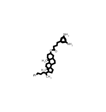 CC(C)CCCC(C)C1CCC2C3CCC4CC(OC(=O)CCCc5cc(N)cc(N)c5)CCC4(C)C3CCC12C